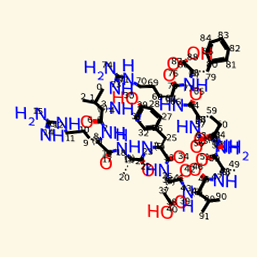 CC(C)[C@H](N)C(=O)N[C@@H](CCCNC(=N)N)C(=O)N[C@@H](C)C(=O)N[C@@H](Cc1ccc(O)cc1)C(=O)N[C@@H](CC(=O)O)C(=O)N[C@H](C(=O)N[C@@H](C)C(=O)N[C@@H](C)C(=O)N[C@@H](CCC(N)=O)C(=O)N[C@@H](CCCNC(=N)N)C(=O)N[C@@H](Cc1ccccc1)C(=O)O)C(C)C